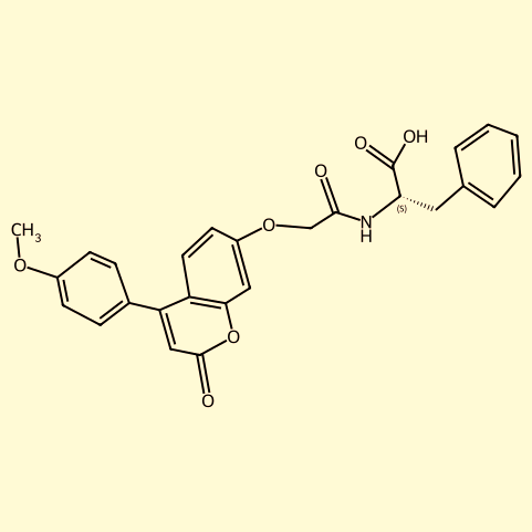 COc1ccc(-c2cc(=O)oc3cc(OCC(=O)N[C@@H](Cc4ccccc4)C(=O)O)ccc23)cc1